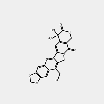 B[C@@]1(O)C(=O)OCc2c1cc1n(c2=O)Cc2c-1nc1cc3c(cc1c2CBr)OCO3